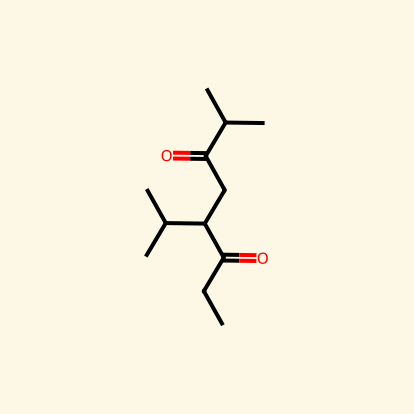 CCC(=O)C(CC(=O)C(C)C)C(C)C